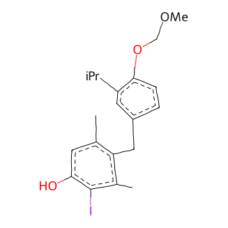 COCOc1ccc(Cc2c(C)cc(O)c(I)c2C)cc1C(C)C